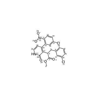 COC(=O)C(Cc1cccc(Cl)c1)c1c(-c2cc(Cl)ccc2[N+](=O)[O-])cc[nH]c1=O